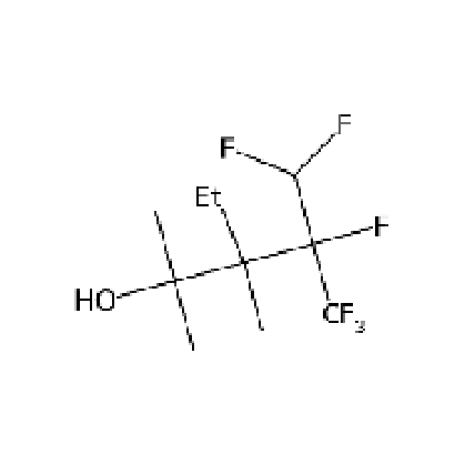 CCC(C)(C(C)(C)O)C(F)(C(F)F)C(F)(F)F